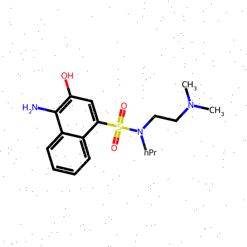 CCCN(CCN(C)C)S(=O)(=O)c1cc(O)c(N)c2ccccc12